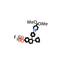 COC(OC)C1CCN(c2ccc([C@@H]3c4ccc(OS(=O)(=O)C(F)(F)F)cc4CC[C@@H]3c3ccccc3)cc2)CC1